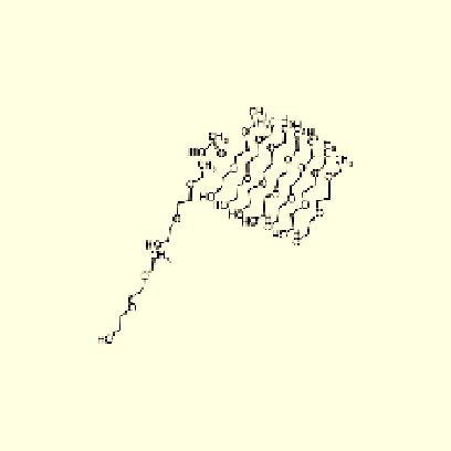 CC(=O)O.CCOCCOCCO.CCOCCOCCO.CCOCCOCCO.CCOCCOCCO.CCOCCOCCO.CCOCCOCCO.CCOCCOCCO.CCOCCOCCO.CCOCCOCCO